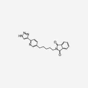 O=C1c2ccccc2C(=O)N1CCCCCc1ccc(-c2c[nH]nn2)nc1